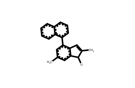 [Li][CH]1C(C)=Cc2c(-c3cccc4ccccc34)cc(C)cc21